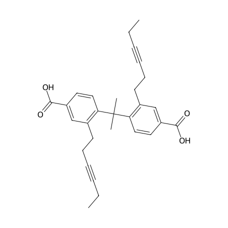 CCC#CCCc1cc(C(=O)O)ccc1C(C)(C)c1ccc(C(=O)O)cc1CCC#CCC